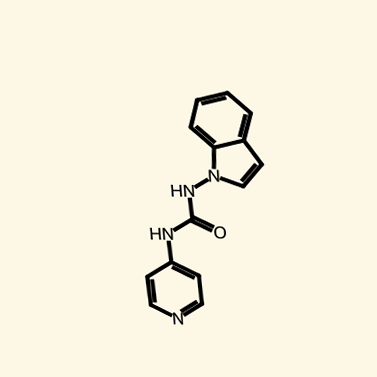 O=C(Nc1ccncc1)Nn1ccc2ccccc21